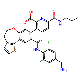 CCCNC(=O)c1ccc(-c2cc3c(cc2C(=O)Nc2c(F)cc(CN)cc2F)-c2sccc2CCO3)c(C(=O)O)n1